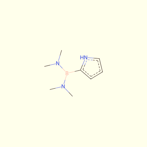 CN(C)B(c1ccc[nH]1)N(C)C